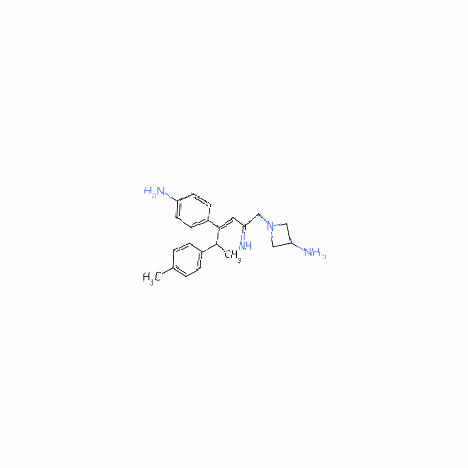 Cc1ccc(C(C)/C(=C\C(=N)CN2CC(N)C2)c2ccc(N)cc2)cc1